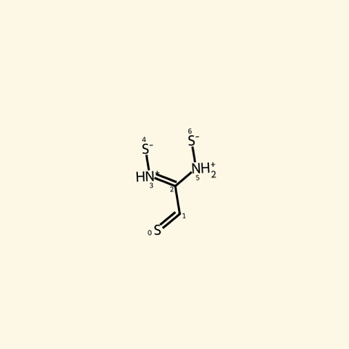 S=CC(=[NH+][S-])[NH2+][S-]